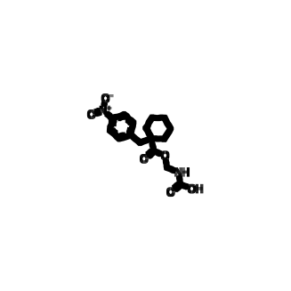 O=C(O)NCOC(=O)C1(Cc2ccc([N+](=O)[O-])cc2)CCCCC1